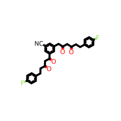 N#Cc1cc(CC(=O)CC(=O)CCc2ccc(F)cc2)cc(C(=O)CC(=O)CCc2ccc(F)cc2)c1